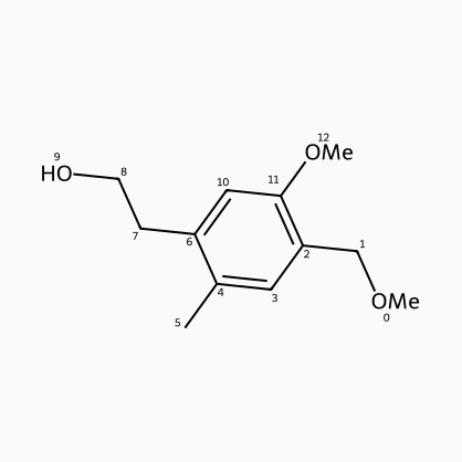 COCc1cc(C)c(CCO)cc1OC